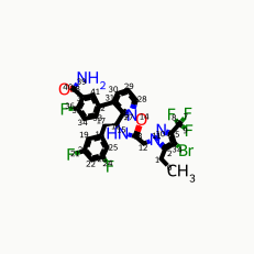 CCc1c(Br)c(C(F)(F)F)nn1CC(=O)N[C@@H](Cc1cc(F)cc(F)c1)c1ncccc1-c1ccc(F)c(C(N)=O)c1